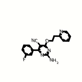 N#Cc1c(OCCc2ccccn2)nc(N)nc1-c1cccc(F)c1